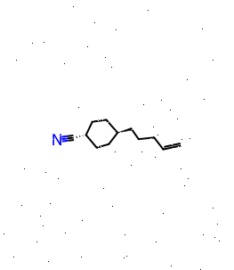 C=CCCC[C@H]1CC[C@H](C#N)CC1